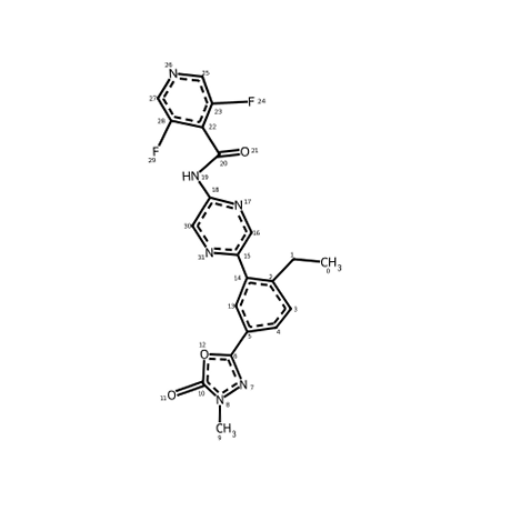 CCc1ccc(-c2nn(C)c(=O)o2)cc1-c1cnc(NC(=O)c2c(F)cncc2F)cn1